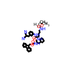 CC(C)(C)OC(=O)NCCCCC(NC(=O)C(CC1CCCCC1)NC(=O)OCC1c2ccccc2-c2ccccc21)C(=O)Nc1cccc(C=C(C#N)C#N)c1